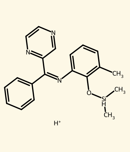 Cc1cccc(N=C(c2ccccc2)c2cnccn2)c1O[SiH](C)C.[H+]